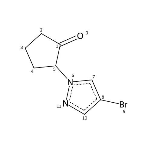 O=C1CCCC1n1cc(Br)cn1